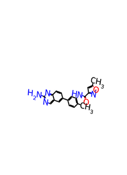 Cc1cc(C(=O)Nc2cc(-c3ccc4nc(N)ncc4c3)ccc2C)no1